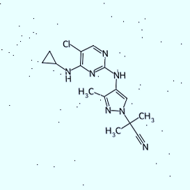 Cc1nn(C(C)(C)C#N)cc1Nc1ncc(Cl)c(NC2CC2)n1